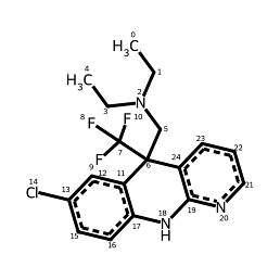 CCN(CC)CC1(C(F)(F)F)c2cc(Cl)ccc2Nc2ncccc21